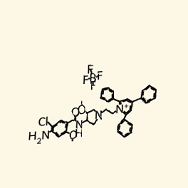 COc1cc(N)c(Cl)cc1C(=O)NC1CCN(CC[n+]2c(-c3ccccc3)cc(-c3ccccc3)cc2-c2ccccc2)CC1OC.F[B-](F)(F)F